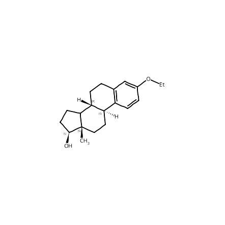 CCOc1ccc2c(c1)CC[C@H]1C3CC[C@H](O)[C@@]3(C)CC[C@H]21